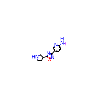 INc1ccc(-c2noc(C3CCNC3)n2)cn1